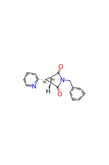 O=C1C2[C@@H](c3ccccn3)[C@H]2C(=O)N1Cc1ccccc1